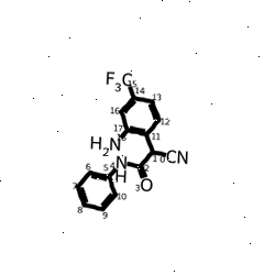 N#CC(C(=O)Nc1ccccc1)c1ccc(C(F)(F)F)cc1N